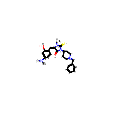 CCN(CC)c1ccc(/C=C2\C(=O)N(C3CCN(Cc4ccccc4)CC3)C(=S)N2C)c(O)c1